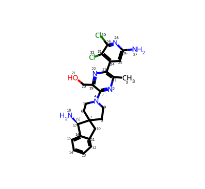 Cc1nc(N2CCC3(CC2)Cc2ccccc2[C@H]3N)c(CO)nc1-c1cc(N)nc(Cl)c1Cl